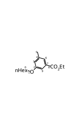 CCCCCCOc1cc(C)cc(C(=O)OCC)c1